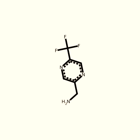 NCc1cnc(C(F)(F)F)cn1